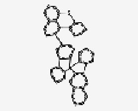 c1ccc2c(c1)Sc1cccc3ccc(-c4ccc5c(c4)-c4ccccc4C54c5ccccc5-c5cc6ccccc6cc54)c-2c13